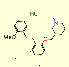 COc1ccccc1CCc1ccccc1OC[C@@H]1CCCN(C)C1.Cl